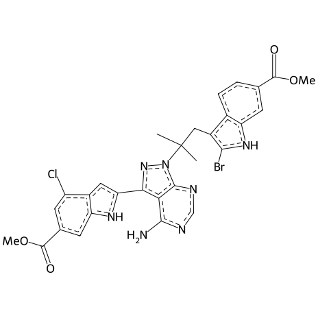 COC(=O)c1cc(Cl)c2cc(-c3nn(C(C)(C)Cc4c(Br)[nH]c5cc(C(=O)OC)ccc45)c4ncnc(N)c34)[nH]c2c1